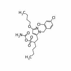 CCCCOc1cc(CC(CCCC)S(=O)(=O)OC(N)=O)n(Cc2ccc(Cl)cc2Cl)n1